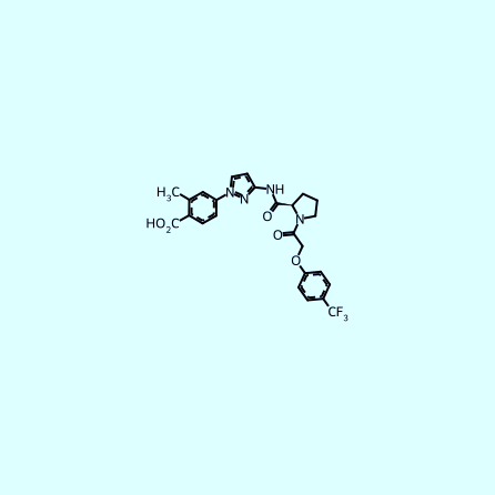 Cc1cc(-n2ccc(NC(=O)[C@H]3CCCN3C(=O)COc3ccc(C(F)(F)F)cc3)n2)ccc1C(=O)O